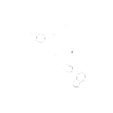 N#CC[C@]1(n2cc(-c3ncnc4[nH]ccc34)cn2)C[C@@H](N2CCC(Oc3cc(CN4CCC[C@H]4CO)cc(C(F)(F)F)n3)CC2)C1